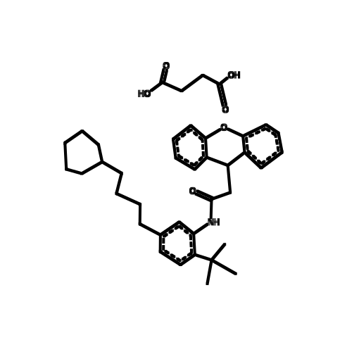 CC(C)(C)c1ccc(CCCCC2CCCCC2)cc1NC(=O)CC1c2ccccc2Oc2ccccc21.O=C(O)CCC(=O)O